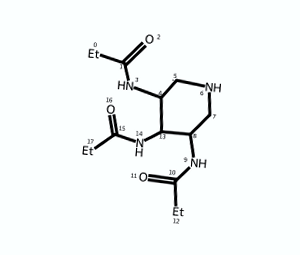 CCC(=O)NC1[CH]NCC(NC(=O)CC)C1NC(=O)CC